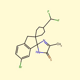 CC1=NC2(NC1=S)c1cc(Br)ccc1CC21CCC(C(F)F)CC1